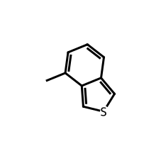 Cc1cccc2cscc12